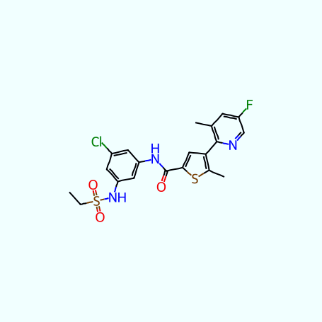 CCS(=O)(=O)Nc1cc(Cl)cc(NC(=O)c2cc(-c3ncc(F)cc3C)c(C)s2)c1